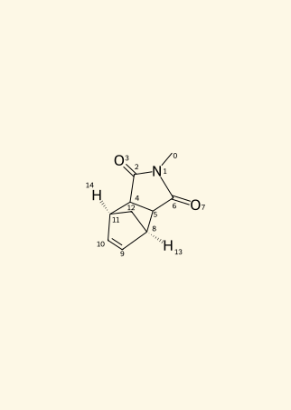 CN1C(=O)C2C(C1=O)[C@H]1C=C[C@@H]2C1